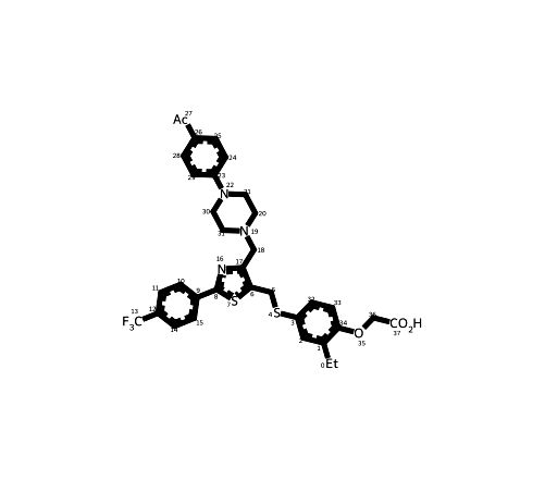 CCc1cc(SCc2sc(-c3ccc(C(F)(F)F)cc3)nc2CN2CCN(c3ccc(C(C)=O)cc3)CC2)ccc1OCC(=O)O